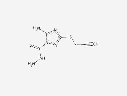 C#CCSc1nc(N)n(C(=S)NN)n1